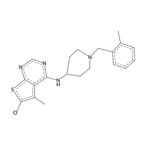 Cc1ccccc1CN1CCC(Nc2ncnc3sc(Cl)c(C)c23)CC1